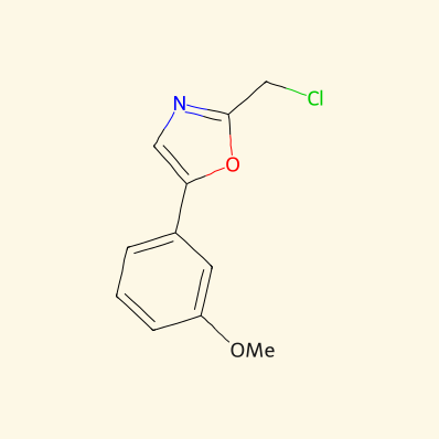 COc1cccc(-c2cnc(CCl)o2)c1